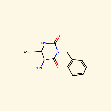 CSC1NC(=O)N(Cc2ccccc2)C(=O)N1N